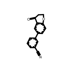 N#Cc1cccc(-c2ccc3c(c2)C(=O)CCO3)c1